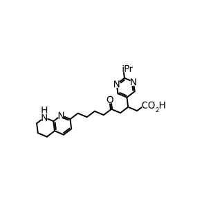 CC(C)c1ncc(C(CC(=O)O)CC(=O)CCCCc2ccc3c(n2)NCCC3)cn1